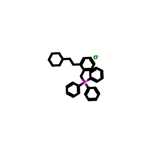 [Cl-].c1ccc([P+](Cc2ccccc2CCC2CCCCC2)(c2ccccc2)c2ccccc2)cc1